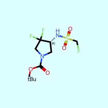 CC(C)(C)OC(=O)N1C[C@@H](NS(=O)(=O)CF)C(F)(F)C1